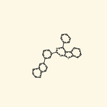 c1ccc(-c2nc(-c3cccc(-c4ccc5ccccc5c4)c3)nc3sc4ccccc4c23)cc1